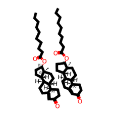 CCCCCCCCCC(=O)O[C@H]1CC[C@H]2[C@@H]3CCC4=CC(=O)CC[C@@H]4[C@H]3CC[C@]12C.CCCCCCCCCC(=O)O[C@H]1CC[C@H]2[C@@H]3CCC4=CC(=O)CC[C@@H]4[C@H]3CC[C@]12C